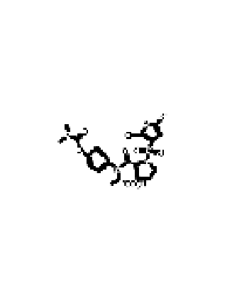 C[C@@H](C(=O)O)N(C(=O)[C@@H]1CCCN1S(=O)(=O)c1cc(Cl)sc1Cl)c1ccc(OC(=O)N(C)C)cc1